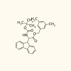 Cc1cc(C)cc(COC(=O)C(NC(=O)OC(C)(C)C)C2c3ccccc3-c3ccccc32)c1